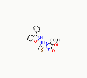 Cn1c(-c2sccc2NC(=O)NC(c2ccccc2)c2ccccc2)nc(C(=O)O)c(O)c1=O